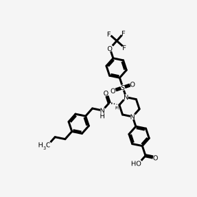 CCCc1ccc(CNC(=O)[C@H]2CN(c3ccc(C(=O)O)cc3)CCN2S(=O)(=O)c2ccc(OC(F)(F)F)cc2)cc1